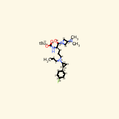 C=CCN(CCC[C@@H](NC(=O)OC(C)(C)C)C(=O)N1CC(N(C)C)C1)C1C[C@H]1c1ccc(F)cc1